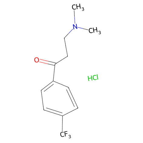 CN(C)CCC(=O)c1ccc(C(F)(F)F)cc1.Cl